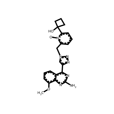 COc1cccc2c(-c3cn(Cc4cccc(C5(O)CCC5)[n+]4[O-])nn3)nc(N)nc12